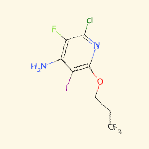 Nc1c(F)c(Cl)nc(OCCC(F)(F)F)c1I